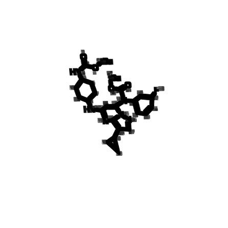 CC(C)(C)OC(=O)NC1CCC(Nc2cc(N(C(=O)OC(C)(C)C)c3cccc(F)c3)n3ncc(C4CC4)c3n2)CC1